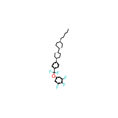 CCCCC[C@H]1CC[C@H]([C@H]2CC[C@H](c3ccc(C(F)(F)Oc4cc(F)c(F)c(F)c4)cc3)CC2)CC1